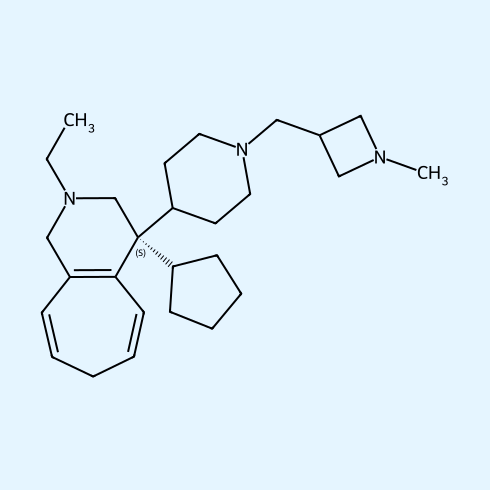 CCN1CC2=C(C=CCC=C2)[C@](C2CCCC2)(C2CCN(CC3CN(C)C3)CC2)C1